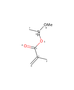 C=C(C)C(=O)O[SiH](C)OC